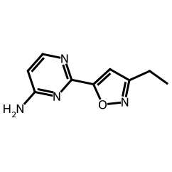 CCc1cc(-c2nccc(N)n2)on1